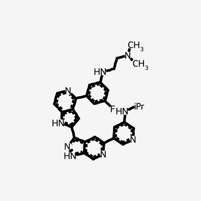 CC(C)Nc1cncc(-c2cc3c(-c4cc5c(-c6cc(F)cc(NCCN(C)C)c6)nccc5[nH]4)n[nH]c3cn2)c1